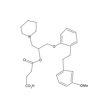 COc1cccc(CCc2ccccc2OCC(CN2CCCCC2)OC(=O)CCC(=O)O)c1